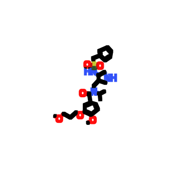 COCCCOc1cc(C(=O)N(CC2CNCC2NS(=O)(=O)Cc2ccccc2)C(C)C)ccc1OC